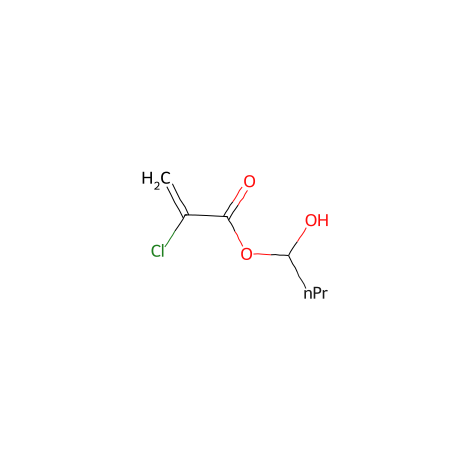 C=C(Cl)C(=O)OC(O)CCC